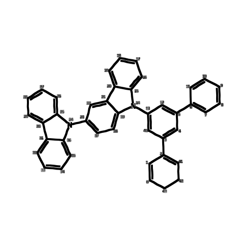 C1=CC(c2cc(-c3ccccc3)cc(-n3c4ccccc4c4cc(-n5c6ccccc6c6ccccc65)ccc43)c2)=CCC1